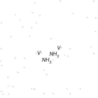 N.N.[V].[V]